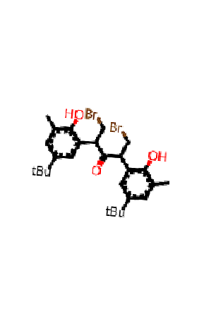 Cc1cc(C(C)(C)C)cc(C(CBr)C(=O)C(CBr)c2cc(C(C)(C)C)cc(C)c2O)c1O